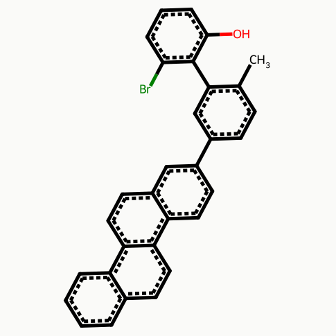 Cc1ccc(-c2ccc3c(ccc4c5ccccc5ccc34)c2)cc1-c1c(O)cccc1Br